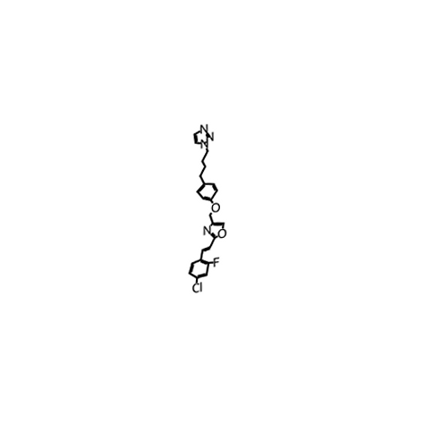 Fc1cc(Cl)ccc1C=Cc1nc(COc2ccc(CCCCn3ccnn3)cc2)co1